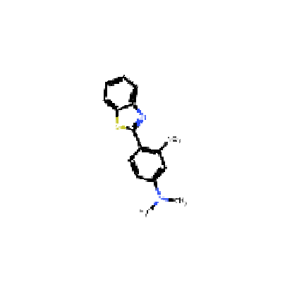 CN(C)c1ccc(-c2nc3ccccc3s2)c([N+](=O)[O-])c1